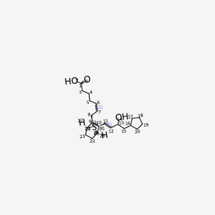 O=C(O)CCC/C=C\C[C@H]1[C@@H](/C=C/C(O)CC2CCCC2)[C@H]2CC[C@@H]1S2